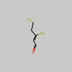 O=[C]C=C(S)CCS